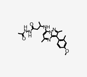 COc1ccc(-c2c(C)nn3c(NC(C)CC(=O)NNC(C)=O)cc(C)nc23)c(C)c1